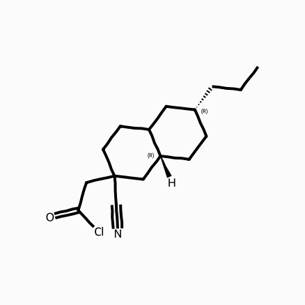 CCC[C@@H]1CC[C@@H]2CC(C#N)(CC(=O)Cl)CCC2C1